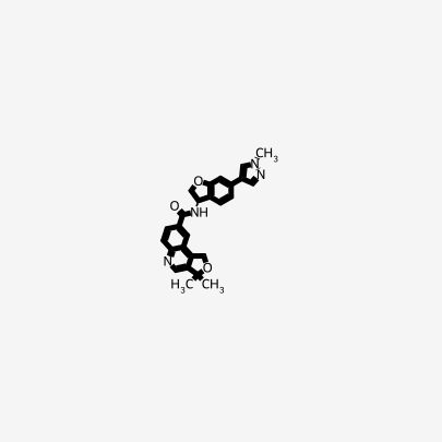 Cn1cc(-c2ccc3c(c2)OC[C@H]3NC(=O)c2ccc3ncc4c(c3c2)COC4(C)C)cn1